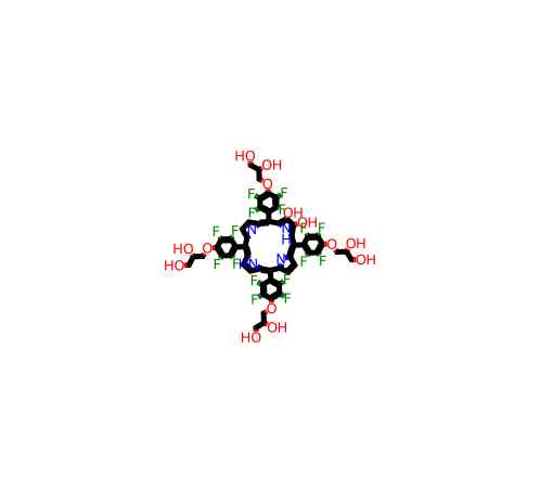 OCC(O)COc1c(F)c(F)c(-c2c3nc(c(-c4c(F)c(F)c(OCC(O)CO)c(F)c4F)c4[nH]c(c(O)c4O)c(-c4c(F)c(F)c(OCC(O)CO)c(F)c4F)c4nc(c(-c5c(F)c(F)c(OCC(O)CO)c(F)c5F)c5ccc2[nH]5)CC4)C=C3)c(F)c1F